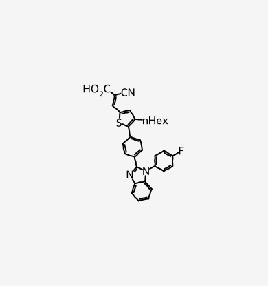 CCCCCCc1cc(/C=C(\C#N)C(=O)O)sc1-c1ccc(-c2nc3ccccc3n2-c2ccc(F)cc2)cc1